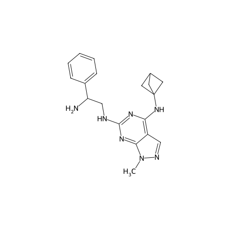 Cn1ncc2c(NC34CC(C3)C4)nc(NCC(N)c3ccccc3)nc21